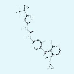 Nc1nccc2c1c(-c1ccc(NC(=O)Nc3cc(C4(C(F)(F)F)CC4)no3)nc1)nn2C1CC1